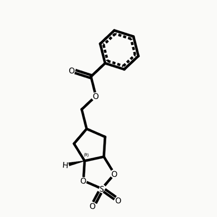 O=C(OCC1CC2OS(=O)(=O)O[C@@H]2C1)c1ccccc1